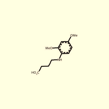 COc1ccc(NCCCC(=O)O)c(OC)c1